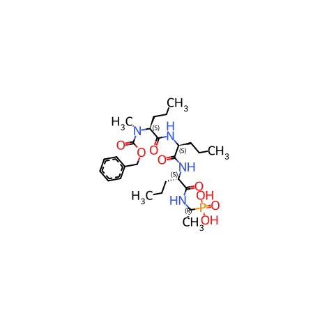 CCC[C@H](NC(=O)[C@H](CCC)NC(=O)[C@H](CCC)N(C)C(=O)OCc1ccccc1)C(=O)N[C@@H](C)P(=O)(O)O